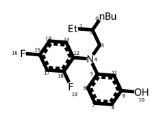 CCCCC(CC)CN(c1cccc(O)c1)c1ccc(F)cc1F